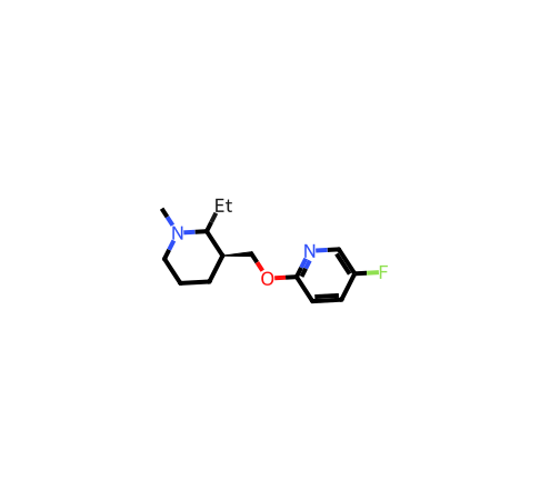 CCC1[C@@H](COc2ccc(F)cn2)CCCN1C